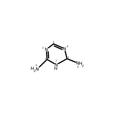 NC1=NC=NC(N)N1